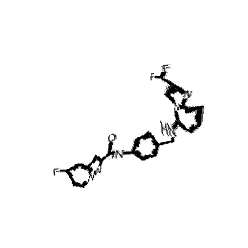 O=C(Nc1ccc(CNc2cccc3nc(C(F)F)cn23)cc1)c1cc2cc(F)ccn2n1